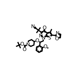 COc1ccccc1C(Cn1nc(C(C)(C)C#N)c(=O)c2c(C)c(-c3ncco3)sc21)OC1CCN(C(=O)OC(C)(C)C)CC1